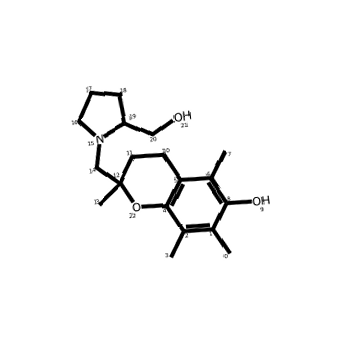 Cc1c(C)c2c(c(C)c1O)CCC(C)(CN1CCCC1CO)O2